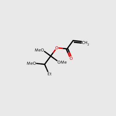 C=CC(=O)OC(OC)(OC)C(CC)OC